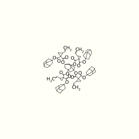 C=CC1CC1(C(=O)OC12CC3CC(CC(C3)C1)C2)C(=O)OC12CC3(OC(=O)C4(C(=O)OC56CC7CC(CC(C7)C5)C6)CC4C=C)CC(OC(=O)C4(C(=O)OC56CC7CC(CC(C7)C5)C6)CC4C=C)(C1)CC(OC(=O)C1(C(=O)OC45CC6CC(CC(C6)C4)C5)CC1C=C)(C2)C3